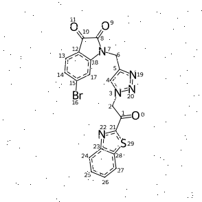 O=C(Cn1cc(CN2C(=O)C(=O)c3ccc(Br)cc32)nn1)c1nc2ccccc2s1